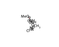 COC12CC(C1)C(C(=O)NC(=O)Nc1ccc(Oc3ncc(Cl)cn3)c(C)c1)C2